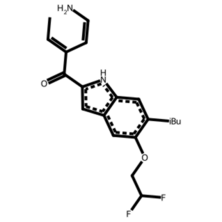 C/C=C(\C=C/N)C(=O)c1cc2cc(OCC(F)F)c(C(C)CC)cc2[nH]1